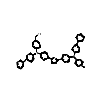 Cc1ccc(N(c2ccc(-c3ccccc3)cc2)c2ccc(-c3ccc(-c4ccc(N(c5ccc(CO)cc5)c5ccc(-c6ccccc6)cc5)cc4)s3)cc2)cc1